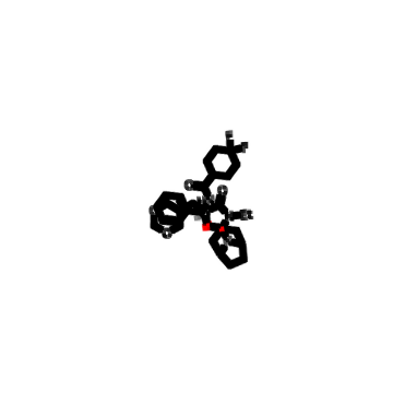 CCN1C(=O)N(CC2COCOC2)CC12CC1CCC(C2)N1CC[C@H](NC(=O)C1CCC(F)(F)CC1)c1ccccc1